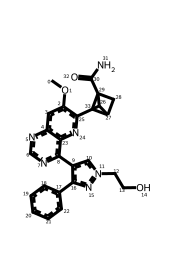 COc1cc2ncnc(-c3cn(CCO)nc3-c3ccccc3)c2nc1C1C2CC1(C(N)=O)C2